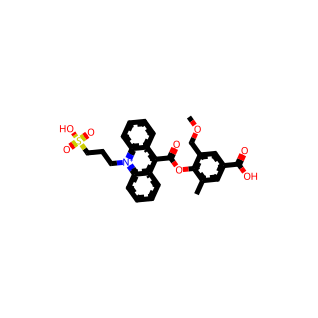 COCc1cc(C(=O)O)cc(C)c1OC(=O)c1c2ccccc2[n+](CCCS(=O)(=O)O)c2ccccc12